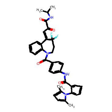 Cc1ccc(C)n1-c1ccccc1C(=O)Nc1ccc(C(=O)N2CCC(F)(F)C(=CC(=O)C(=O)NC(C)C)c3ccccc32)cc1